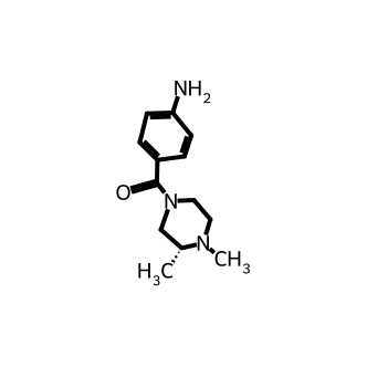 C[C@@H]1CN(C(=O)c2ccc(N)cc2)CCN1C